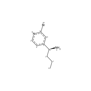 CCC[C@H](N)c1ccnc(Br)c1